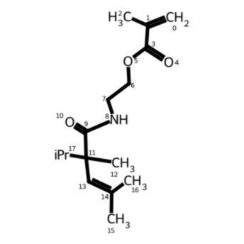 C=C(C)C(=O)OCCNC(=O)C(C)(C=C(C)C)C(C)C